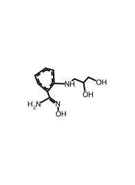 NC(=NO)c1ccccc1NCC(O)CO